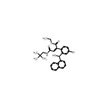 CCOC(=O)/C(=C\C(=O)NCC(C)(C)C)c1ccc(Cl)cc1C(O)c1cccc2ccccc12